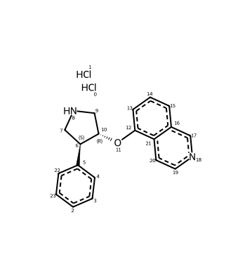 Cl.Cl.c1ccc([C@H]2CNC[C@@H]2Oc2cccc3cnccc23)cc1